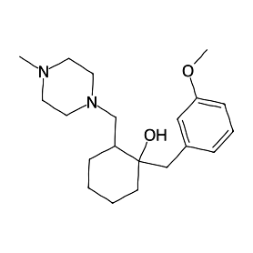 COc1cccc(CC2(O)CCCCC2CN2CCN(C)CC2)c1